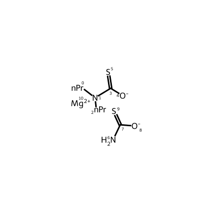 CCCN(CCC)C([O-])=S.NC([O-])=S.[Mg+2]